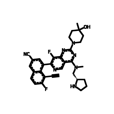 C#Cc1c(F)ccc2cc(C#N)cc(-c3ncc4c(N(C)C[C@@H]5CCCN5)nc(N5CCC(C)(O)CC5)nc4c3F)c12